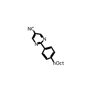 CCCCCCCCc1ccc(-c2ncc(C#N)cn2)cc1